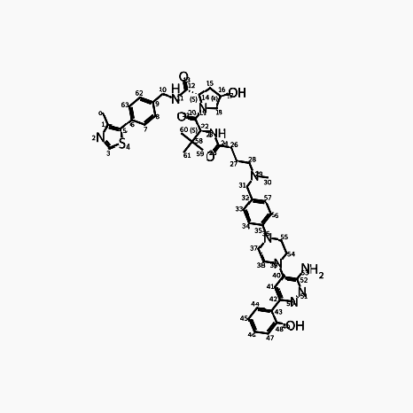 Cc1ncsc1-c1ccc(CNC(=O)[C@@H]2C[C@@H](O)CN2C(=O)[C@@H](NC(=O)CCCN(C)Cc2ccc(N3CCN(c4cc(-c5ccccc5O)nnc4N)CC3)cc2)C(C)(C)C)cc1